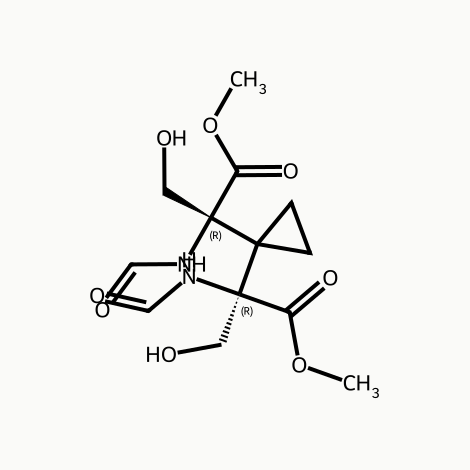 COC(=O)[C@@](CO)(NC=O)C1([C@](CO)(NC=O)C(=O)OC)CC1